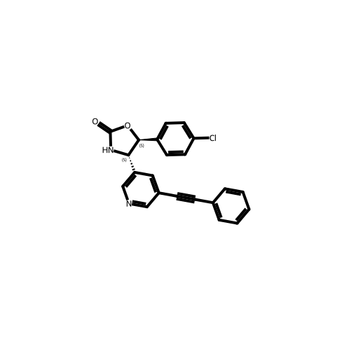 O=C1N[C@@H](c2cncc(C#Cc3ccccc3)c2)[C@H](c2ccc(Cl)cc2)O1